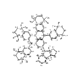 CC1(C)CCC(C)(C)c2cc(N3c4cc5c(cc4B4c6cc7c(cc6N(c6ccc8c(c6)C(C)(C)CCC8(C)C)c6cc(N8c9ccccc9C9(C)CCCC89C)cc3c64)C(C)(C)CCC7(C)C)C(C)(C)CCC5(C)C)ccc21